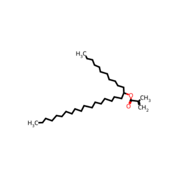 C=C(C)C(=O)OC(CCCCCCCCCCC)CCCCCCCCCCCCCCCCCC